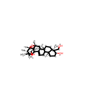 CC1(C)CC2C3=CCC4[C@@]5(C)CC[C@H](O)[C@](C)(CO)C5CC[C@@]4(C)[C@]3(C)C[C@H]3O[C@@H]1[C@H](O)[C@@]23CO